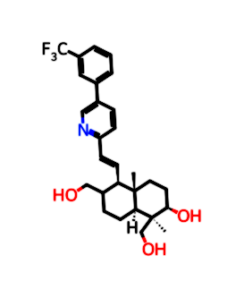 C[C@]1(CO)[C@H]2CCC(CO)[C@@H](/C=C/c3ccc(-c4cccc(C(F)(F)F)c4)cn3)[C@]2(C)CC[C@H]1O